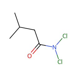 CC(C)CC(=O)N(Cl)Cl